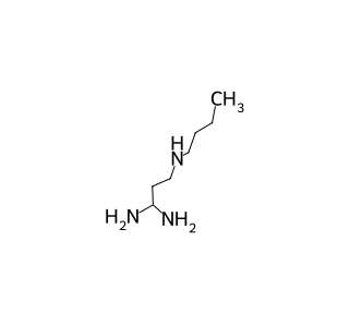 CCCCNCCC(N)N